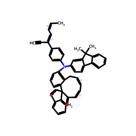 C#C/C(=C\C=C/C)c1ccc(N(c2ccc3c(c2)C(C)(C)c2ccccc2-3)c2cccc3c2C/C=C\C=C/C(=C)C32c3ccccc3-c3ccccc32)cc1